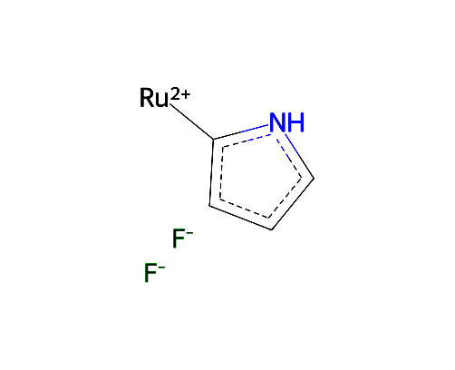 [F-].[F-].[Ru+2][c]1ccc[nH]1